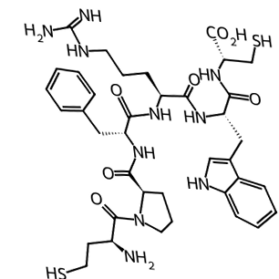 N=C(N)NCCC[C@H](NC(=O)[C@@H](Cc1ccccc1)NC(=O)[C@H]1CCCN1C(=O)[C@@H](N)CCS)C(=O)N[C@@H](Cc1c[nH]c2ccccc12)C(=O)N[C@@H](CS)C(=O)O